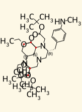 CCOC(=O)CN(CC(=O)OC(C)(C)C)[C@H](Cc1ccc(NC)cc1)CN(CC(=O)OC(C)(C)C)[C@H]1CCCC[C@@H]1N(CC)CC(=O)OC(C)(C)C